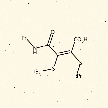 CC(C)NC(=O)/C(SC(C)(C)C)=C(/SC(C)C)C(=O)O